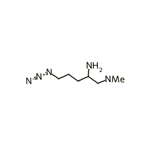 CNCC(N)CCCN=[N+]=[N-]